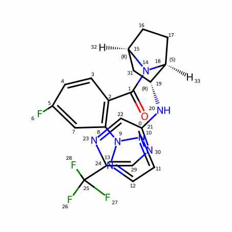 O=C(c1ccc(F)cc1-n1nccn1)N1[C@@H]2CC[C@H]1[C@H](Nc1cnc(C(F)(F)F)cn1)C2